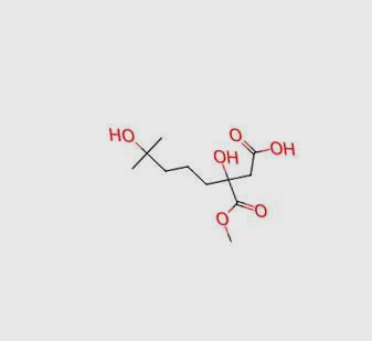 COC(=O)C(O)(CCCC(C)(C)O)CC(=O)O